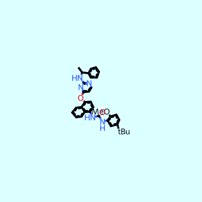 COc1ccc(C(C)(C)C)cc1NC(=O)Nc1ccc(Oc2ccnc(NC(C)c3ccccc3)n2)c2ccccc12